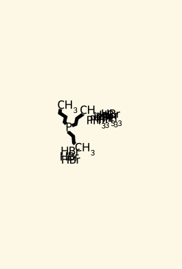 Br.Br.Br.Br.Br.Br.CCCCP(CCCC)CCCC.P.P.P.P.P